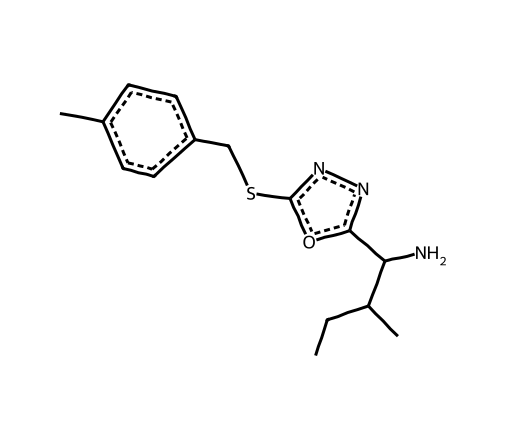 CCC(C)C(N)c1nnc(SCc2ccc(C)cc2)o1